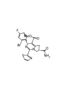 COC(=O)C1=C2C[C@@H](C(N)=O)CN2C(c2nccs2)=N[C@H]1c1ccc(F)cc1Br